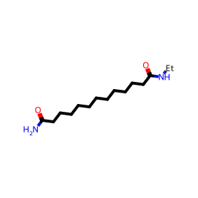 CCNC(=O)CCCCCCCCCCCC(N)=O